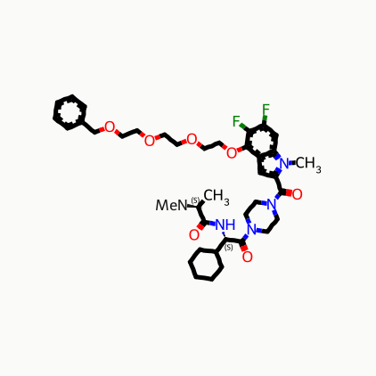 CN[C@@H](C)C(=O)N[C@H](C(=O)N1CCN(C(=O)c2cc3c(OCCOCCOCCOCc4ccccc4)c(F)c(F)cc3n2C)CC1)C1CCCCC1